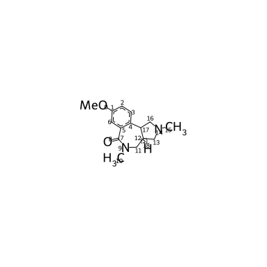 COc1ccc2c(c1)C(=O)N(C)C[C@@H]1CN(C)CC21